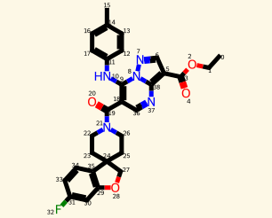 CCOC(=O)c1cnn2c(Nc3ccc(C)cc3)c(C(=O)N3CCC4(CC3)COc3cc(F)ccc34)cnc12